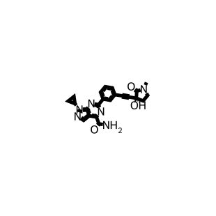 CN1CC[C@@](O)(C#Cc2cccc(-c3nc(C(N)=O)c4cnn(C5CC5)c4n3)c2)C1=O